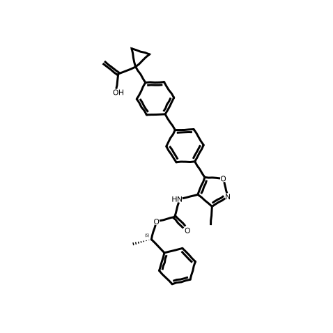 C=C(O)C1(c2ccc(-c3ccc(-c4onc(C)c4NC(=O)O[C@@H](C)c4ccccc4)cc3)cc2)CC1